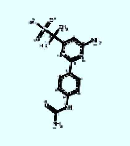 CC(C)(C)S(=O)(=O)C(C)(C)c1cc(N)nc(-c2ccc(NC(N)=O)cc2)n1